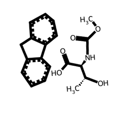 COC(=O)N[C@H](C(=O)O)[C@@H](C)O.c1ccc2c(c1)Cc1ccccc1-2